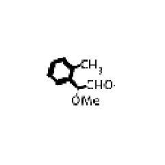 CO[C@@H]([C]=O)c1ccccc1C